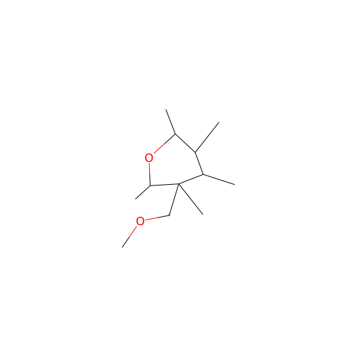 COCC1(C)C(C)OC(C)C(C)C1C